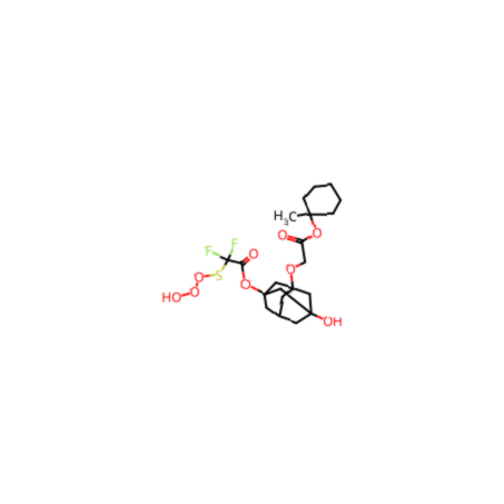 CC1(OC(=O)COC23CC4CC(O)(C2)CC(OC(=O)C(F)(F)SOOO)(C4)C3)CCCCC1